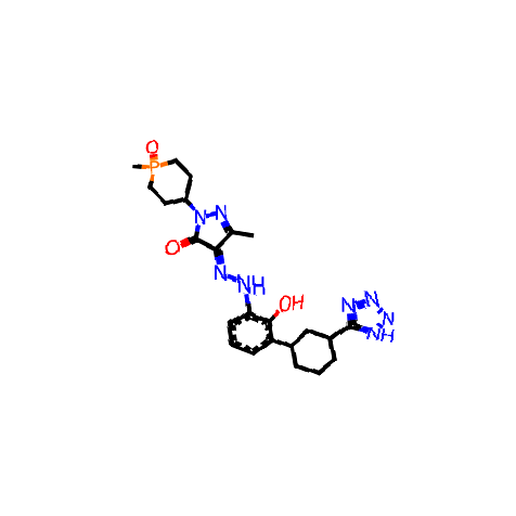 CC1=NN(C2CCP(C)(=O)CC2)C(=O)/C1=N/Nc1cccc(C2CCCC(c3nnn[nH]3)C2)c1O